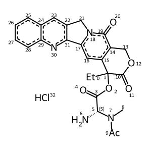 CCC1(OC(=O)[C@@H](N)N(C)C(C)=O)C(=O)OCc2c1cc1n(c2=O)Cc2cc3ccccc3nc2-1.Cl